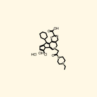 CCN1CCN(C(=O)CN2C=C3C(=C(C4CCCCC4)C4=CC=C(Cl)C34)C3=C(CN=C(C(=O)O)S3)C2)CC1.Cl.Cl